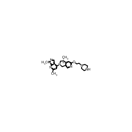 Cc1cc(N2Cc3cnc(OCCN4CCNCC4)cc3[C@@H](C)C2)c2cnn(C)c2n1